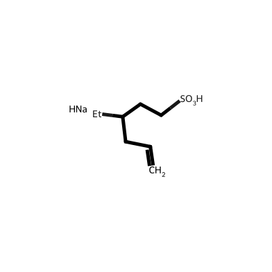 C=CCC(CC)CCS(=O)(=O)O.[NaH]